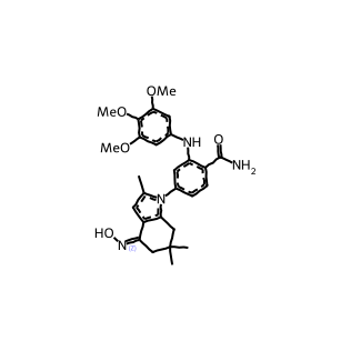 COc1cc(Nc2cc(-n3c(C)cc4c3CC(C)(C)C/C4=N/O)ccc2C(N)=O)cc(OC)c1OC